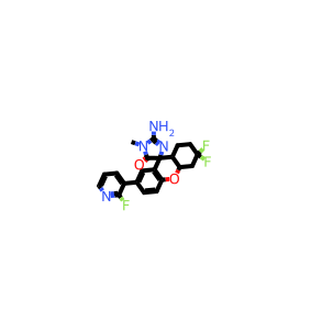 CN1C(=O)C2(N=C1N)c1cc(-c3cccnc3F)ccc1OC1CC(F)(F)CCC12